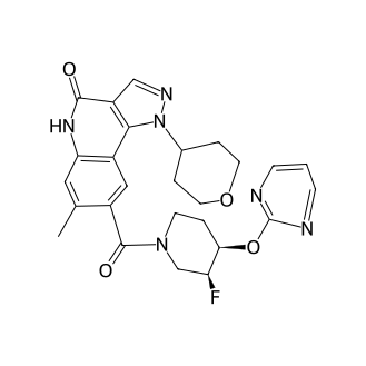 Cc1cc2[nH]c(=O)c3cnn(C4CCOCC4)c3c2cc1C(=O)N1CC[C@@H](Oc2ncccn2)[C@@H](F)C1